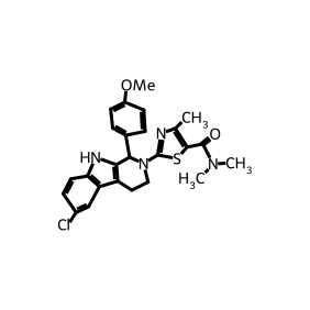 COc1ccc(C2c3[nH]c4ccc(Cl)cc4c3CCN2c2nc(C)c(C(=O)N(C)C)s2)cc1